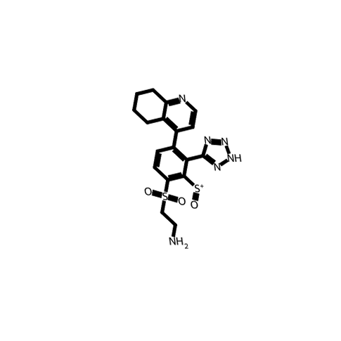 NCCS(=O)(=O)c1ccc(-c2ccnc3c2CCCC3)c(-c2nn[nH]n2)c1[S+]=O